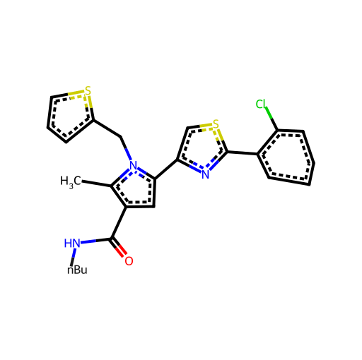 CCCCNC(=O)c1cc(-c2csc(-c3ccccc3Cl)n2)n(Cc2cccs2)c1C